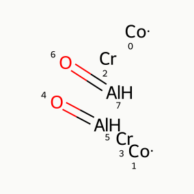 [Co].[Co].[Cr].[Cr].[O]=[AlH].[O]=[AlH]